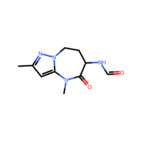 Cc1cc2n(n1)CCC(NC=O)C(=O)N2C